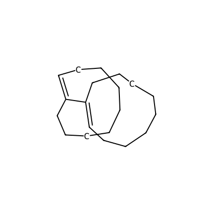 C1=C(\C2=C\CCCCCCCC2)CCCCCCCC/1